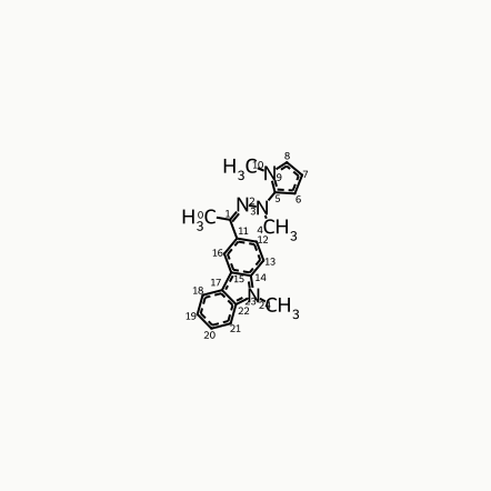 C/C(=N/N(C)c1cccn1C)c1ccc2c(c1)c1ccccc1n2C